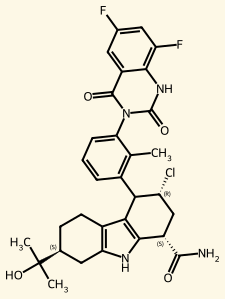 Cc1c(C2c3c([nH]c4c3CC[C@H](C(C)(C)O)C4)[C@@H](C(N)=O)C[C@H]2Cl)cccc1-n1c(=O)[nH]c2c(F)cc(F)cc2c1=O